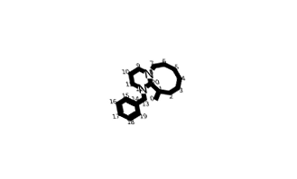 CC1CCCCCCN2CCCN(Cc3ccccc3)C12